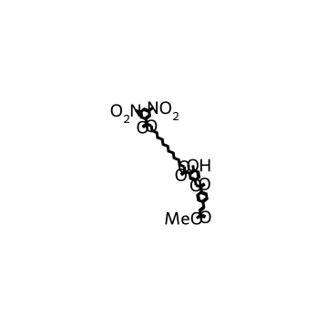 COC(=O)C=Cc1ccc(C(=O)Oc2ccc(O)c(C(=O)OCCCCCCCCCCCOC(=O)c3cc([N+](=O)[O-])cc([N+](=O)[O-])c3)c2)cc1